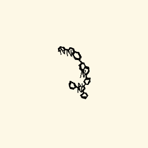 c1ccc(-c2cc(-c3cccc(-c4ccc5cc(-c6ccc7ccc(-c8ccccn8)nc7c6)ccc5n4)c3)nc(-c3ccccc3)n2)cc1